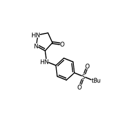 CC(C)(C)S(=O)(=O)c1ccc(NC2=NNCC2=O)cc1